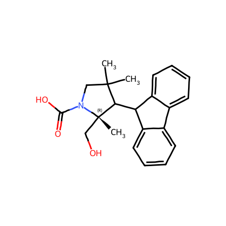 CC1(C)CN(C(=O)O)[C@@](C)(CO)C1C1c2ccccc2-c2ccccc21